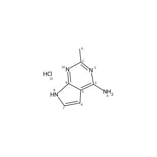 Cc1nc(N)c2cc[nH]c2n1.Cl